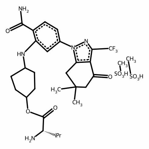 CC(C)[C@H](N)C(=O)OC1CCC(Nc2cc(-n3nc(C(F)(F)F)c4c3CC(C)(C)CC4=O)ccc2C(N)=O)CC1.CS(=O)(=O)O.CS(=O)(=O)O